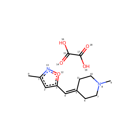 Cc1cc(C=C2CCN(C)CC2)on1.O=C(O)C(=O)O